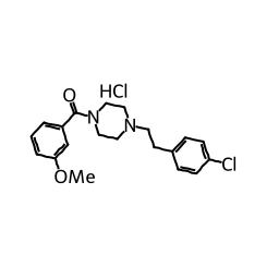 COc1cccc(C(=O)N2CCN(CCc3ccc(Cl)cc3)CC2)c1.Cl